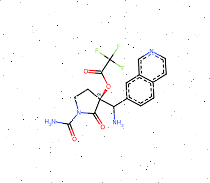 NC(=O)N1CC[C@](OC(=O)C(F)(F)F)(C(N)c2ccc3ccncc3c2)C1=O